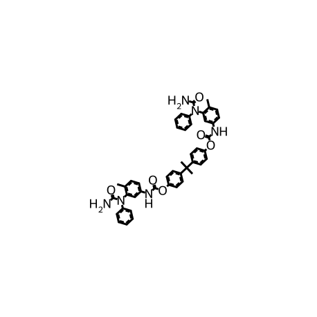 Cc1ccc(NC(=O)Oc2ccc(C(C)(C)c3ccc(OC(=O)Nc4ccc(C)c(N(C(N)=O)c5ccccc5)c4)cc3)cc2)cc1N(C(N)=O)c1ccccc1